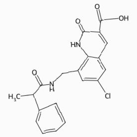 CC(C(=O)NCc1cc(Cl)cc2cc(C(=O)O)c(=O)[nH]c12)c1ccccc1